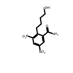 CCCCCCCCCCCCCCc1c(C(N)=O)cc([N+](=O)[O-])cc1[N+](=O)[O-]